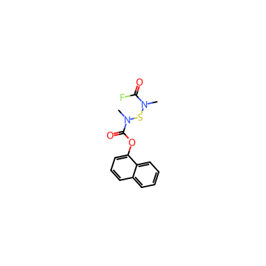 CN(SN(C)C(=O)Oc1cccc2ccccc12)C(=O)F